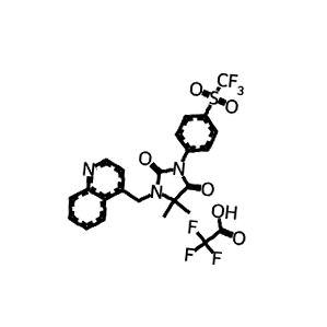 CC1(C)C(=O)N(c2ccc(S(=O)(=O)C(F)(F)F)cc2)C(=O)N1Cc1ccnc2ccccc12.O=C(O)C(F)(F)F